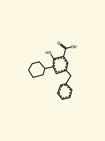 O=C(O)c1cc(Cc2ccccc2)cc(C2CCCCC2)c1O